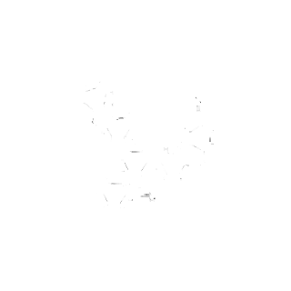 N#Cc1ccc2sc3ccc(-c4cc(-c5ccc6c(c5)sc5ccccc56)cc(-c5ccccc5C#N)c4)cc3c2c1